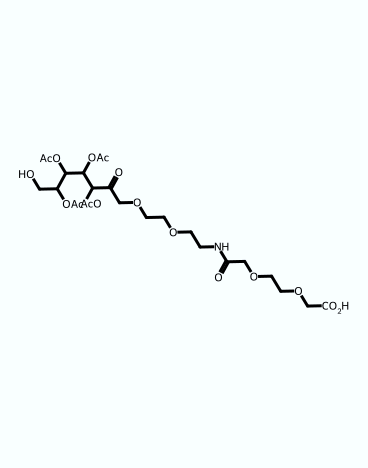 CC(=O)OC(CO)C(OC(C)=O)C(OC(C)=O)C(OC(C)=O)C(=O)COCCOCCNC(=O)COCCOCC(=O)O